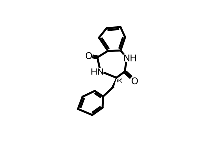 O=C1N[C@H](Cc2ccccc2)C(=O)Nc2ccccc21